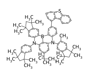 Cc1cc2c(cc1N1c3ccc(-c4cccc5sc6ccccc6c45)cc3B3c4cc5c(cc4N(c4ccc6c(c4)C(C)(C)CC6(C)C)c4cc(C(C)(C)C)cc1c43)C(C)(C)CC5(C)C)C(C)(C)CC2(C)C